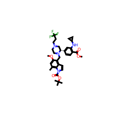 COC(=O)c1ccc([C@H]2CN(CCC(F)(F)F)CCN2Cc2c(OC)cc(C)c3c2ccn3C(=O)OC(C)(C)C)cc1NC1CC1